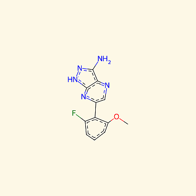 COc1cccc(F)c1-c1cnc2c(N)n[nH]c2n1